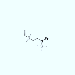 C=C[Si](C)(C)CCN(CC)[Si](C)(C)C